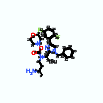 C[C@@H](N)CCN(C(=O)ON1CCOCC1)[C@@H](c1nc(-c2cc(F)ccc2F)cn1Cc1ccccc1)C(C)(C)C